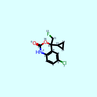 O=C1Nc2ccc(Cl)cc2C(CF)(C2CC2)O1